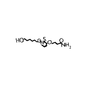 NC(=O)CCCOc1cccn(OCCCCCCO)c1=S